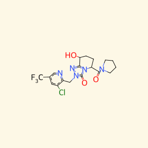 O=C(C1CCC(O)c2nn(Cc3ncc(C(F)(F)F)cc3Cl)c(=O)n21)N1CCCC1